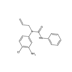 C=CCN(C(=O)Nc1ccccc1)c1ccc(Cl)c(N)c1